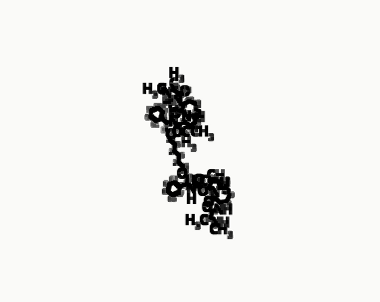 CN[C@@H](C)C(=O)N[C@H]1CCS[C@H]2CC(C)(C)C(OC(=O)N[C@H](COCCCCCCOC[C@@H](NC(=O)[C@H]3N4C(=O)[C@@H](NC(=O)[C@H](C)NC)CCS[C@H]4CC3(C)C)c3ccccc3)c3ccccc3)N2C1=O